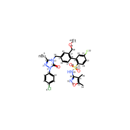 CCCCc1nn(-c2ccc(Cl)cc2)c(=O)n1Cc1ccc(-c2cc(F)ccc2S(=O)(=O)Nc2noc(C)c2C)c(COCC)c1